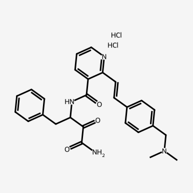 CN(C)Cc1ccc(C=Cc2ncccc2C(=O)NC(Cc2ccccc2)C(=O)C(N)=O)cc1.Cl.Cl